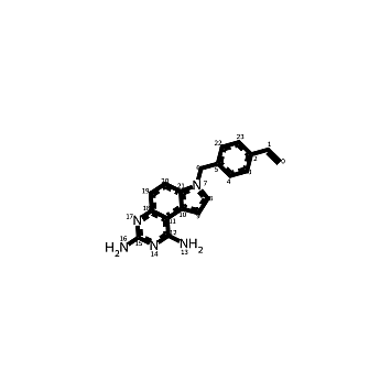 C=Cc1ccc(Cn2ccc3c4c(N)nc(N)nc4ccc32)cc1